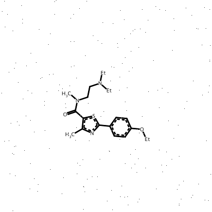 CCOc1ccc(-c2nc(C)c(C(=O)N(C)CCN(CC)CC)s2)cc1